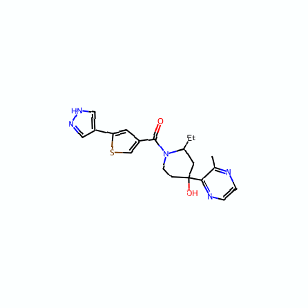 CCC1CC(O)(c2nccnc2C)CCN1C(=O)c1csc(-c2cn[nH]c2)c1